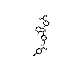 N#Cc1ccc(C(=O)NCc2ccc(-c3nn([C@@H]4CCCN(C(=O)O)C4)c4ncnc(N)c34)cc2)cc1